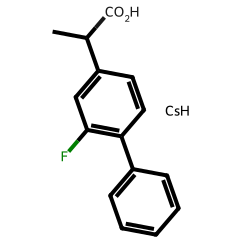 CC(C(=O)O)c1ccc(-c2ccccc2)c(F)c1.[CsH]